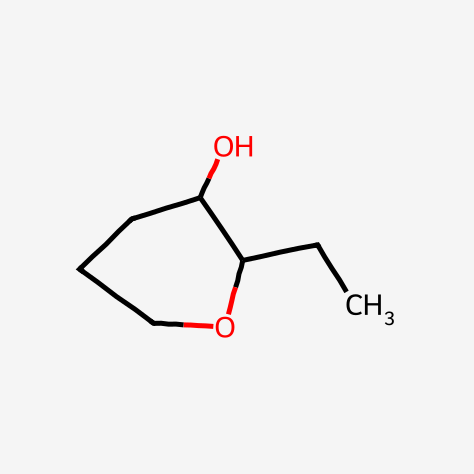 CCC1OCCCC1O